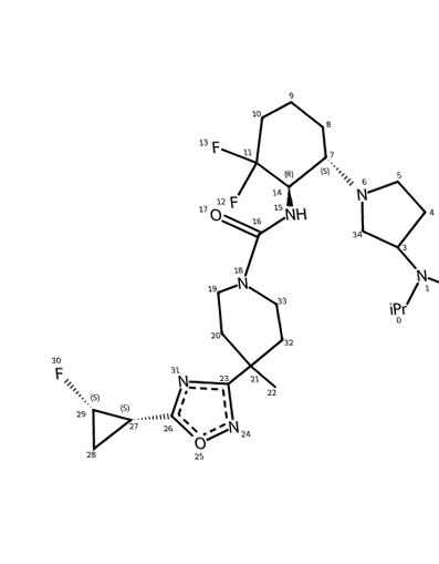 CC(C)N(C)C1CCN([C@H]2CCCC(F)(F)[C@@H]2NC(=O)N2CCC(C)(c3noc([C@@H]4C[C@@H]4F)n3)CC2)C1